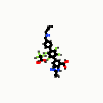 C#CCNCc1ccc(-c2c(F)c(F)c(-c3cc(C(=O)O)c4nc(C)[nH]c4c3)c(F)c2F)cc1.O=C(O)C(F)(F)F